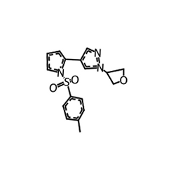 Cc1ccc(S(=O)(=O)n2cccc2-c2cnn(C3COC3)c2)cc1